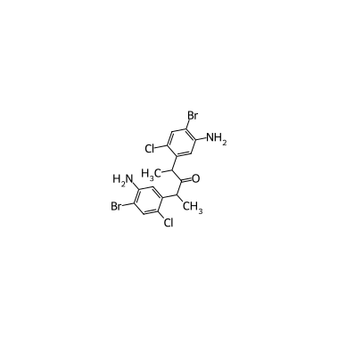 CC(C(=O)C(C)c1cc(N)c(Br)cc1Cl)c1cc(N)c(Br)cc1Cl